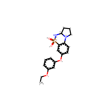 CCOc1cccc(Oc2ccc3c(c2)S(=O)(=O)NC2CCCN32)c1